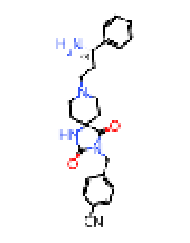 N#Cc1ccc(CN2C(=O)NC3(CCN(CC[C@H](N)c4ccccc4)CC3)C2=O)cc1